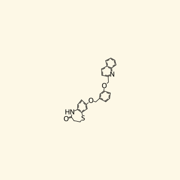 O=C1CCSc2cc(OCc3cccc(OCc4ccc5ccccc5n4)c3)ccc2N1